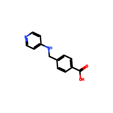 O=C(O)c1ccc(CNc2ccncc2)cc1